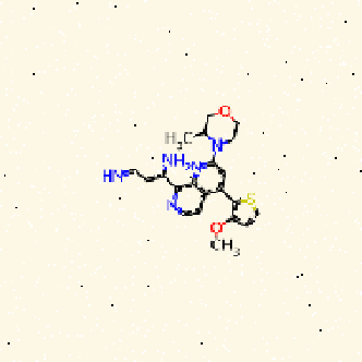 COc1ccsc1-c1cc(N2CCOCC2C)nc2c(/C(N)=C/C=N)nccc12